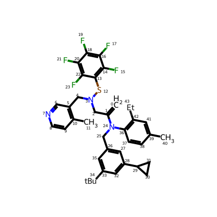 C=C(CN(Cc1cnccc1C)Sc1c(F)c(F)c(F)c(F)c1F)N(Cc1cc(C2CC2)cc(C(C)(C)C)c1)c1ccc(C)cc1CC